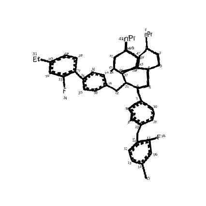 CCCC1CCC(CC(c2ccc(-c3ccc(C)cc3F)cc2)C(Cc2ccc(-c3ccc(CC)cc3F)cc2)C2CCC(CCC)CC2C)C(C)C1